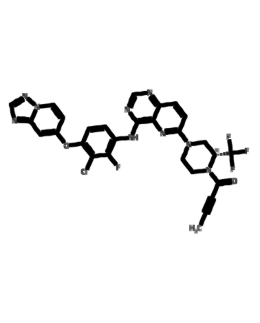 CC#CC(=O)N1CCN(c2ccc3ncnc(Nc4ccc(Oc5ccn6ncnc6c5)c(Cl)c4F)c3n2)C[C@@H]1C(F)(F)F